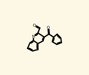 O=Cc1nc2ccccc2cc1C(=O)c1ccccc1